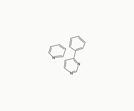 c1ccc(-c2ccncn2)cc1.c1ccncc1